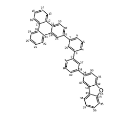 c1cc(-c2cccc(-c3ccc4c5ccccc5c5ccccc5c4c3)c2)cc(-c2ccc3oc4ccccc4c3c2)c1